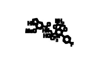 COc1cc(C(=O)NCC(O)(c2cc3c(c(-c4ccc(F)cc4)n2)OC[C@]3(C)C(N)=O)C(F)(F)F)cc2cc[nH]c12